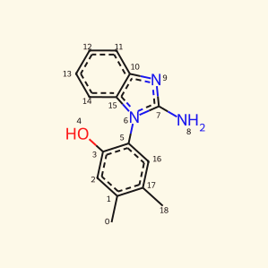 Cc1cc(O)c(-n2c(N)nc3ccccc32)cc1C